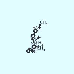 CC#CC(=O)Nc1ccc(-c2ccc3cc(-c4nc5cc(C(=O)N6CC7CCC6C7N)cc(OC)c5n4C)n(CC4CC4)c3c2)cc1